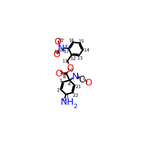 NC1C=CC(N=C=O)(C(=O)OCc2ccccc2[N+](=O)[O-])C=C1